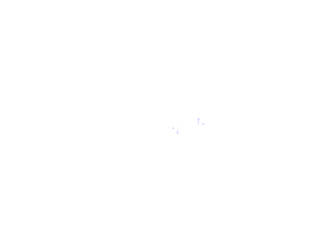 CCn1ncc2ccccc21